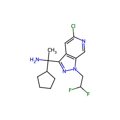 CC(N)(c1nn(CC(F)F)c2cnc(Cl)cc12)C1CCCC1